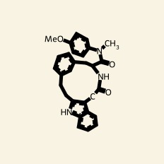 COc1ccc(N(C)C(=O)C2Cc3cccc(c3)CCc3[nH]c4ccccc4c3CC(=O)N2)cc1